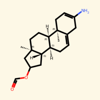 C[C@]12CC[C@@H]3[C@@H](CC=C4CC(N)=CC[C@@]43C)[C@@H]1CC(OC=O)C2